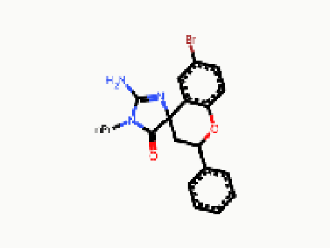 CCCN1C(=O)C2(CC(c3ccccc3)Oc3ccc(Br)cc32)N=C1N